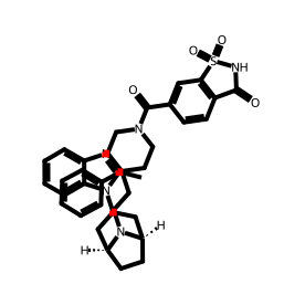 Cc1nc2ccccc2n1C1C[C@H]2CC[C@@H](C1)N2CCC1(c2ccccc2)CCN(C(=O)c2ccc3c(c2)S(=O)(=O)NC3=O)CC1